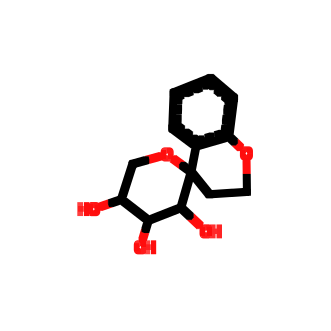 OC1COC2(CCOc3ccccc32)C(O)C1O